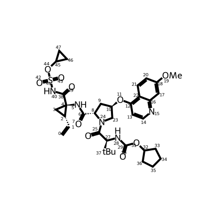 C=C[C@@H]1C[C@]1(NC(=O)[C@@H]1C[C@@H](Oc2ccnc3cc(OC)ccc23)CN1C(=O)[C@@H](NC(=O)OC1CCCC1)C(C)(C)C)C(=O)NS(=O)(=O)OC1CC1